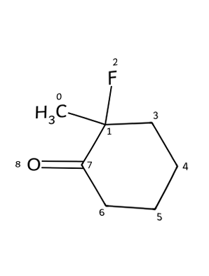 CC1(F)CCCCC1=O